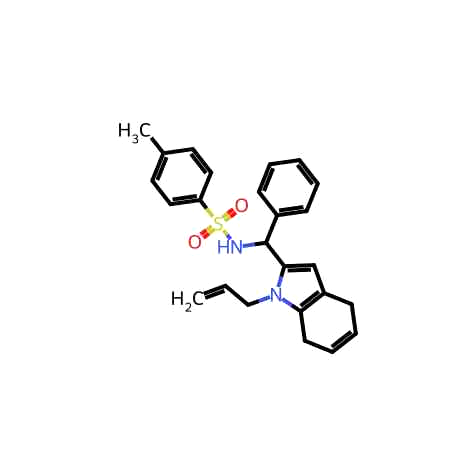 C=CCn1c(C(NS(=O)(=O)c2ccc(C)cc2)c2ccccc2)cc2c1CC=CC2